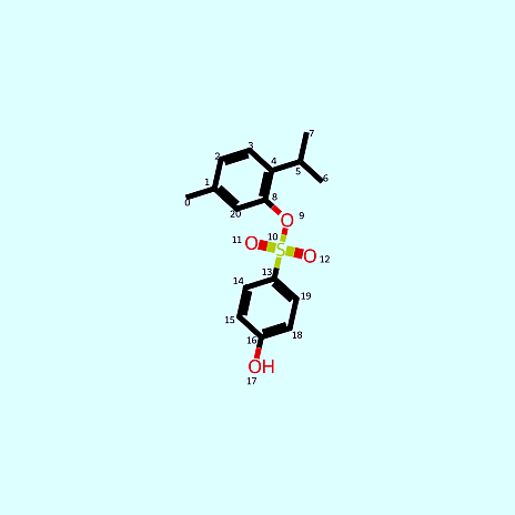 Cc1ccc(C(C)C)c(OS(=O)(=O)c2ccc(O)cc2)c1